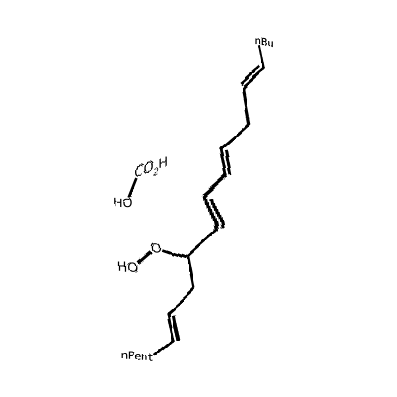 CCCCC=CCC=CC=CC(CC=CCCCCC)OO.O=C(O)O